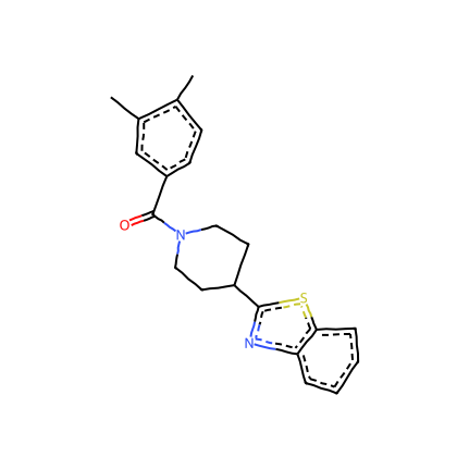 Cc1ccc(C(=O)N2CCC(c3nc4ccccc4s3)CC2)cc1C